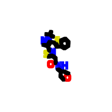 CC(C)(C)n1ncc(-c2nc(CC(=O)NCC3CCOCC3)cs2)c1-c1cc2ccccc2s1